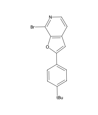 CC(C)(C)c1ccc(-c2cc3ccnc(Br)c3o2)cc1